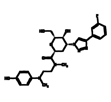 CN(CCN(C)c1ccc(O)cc1)C(=O)[C@H]1C[C@@H](n2cc(-c3cccc(F)c3)nn2)[C@@H](O)[C@@H](CO)O1